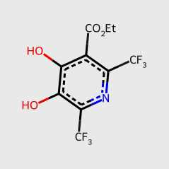 CCOC(=O)c1c(C(F)(F)F)nc(C(F)(F)F)c(O)c1O